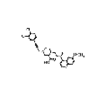 COc1ccc2nccc(C(F)CC[C@@H]3CCN(CC#Cc4ccc(Cl)c(Cl)c4)C[C@@H]3C(=O)O)c2c1